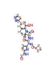 O=CNc1nc(C(=NOC2CSC2)C(=O)NC2C(=O)N3C(C(=O)O)=C(CSc4nncs4)CS[C@@H]23)cs1